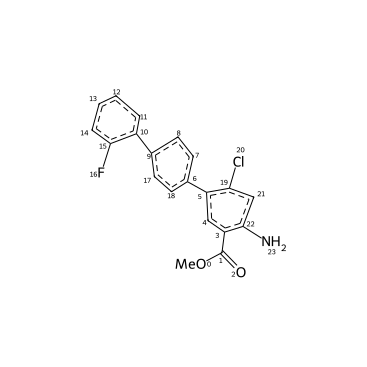 COC(=O)c1cc(-c2ccc(-c3ccccc3F)cc2)c(Cl)cc1N